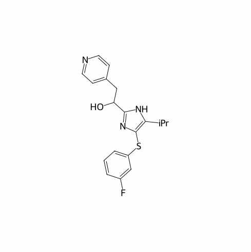 CC(C)c1[nH]c(C(O)Cc2ccncc2)nc1Sc1cccc(F)c1